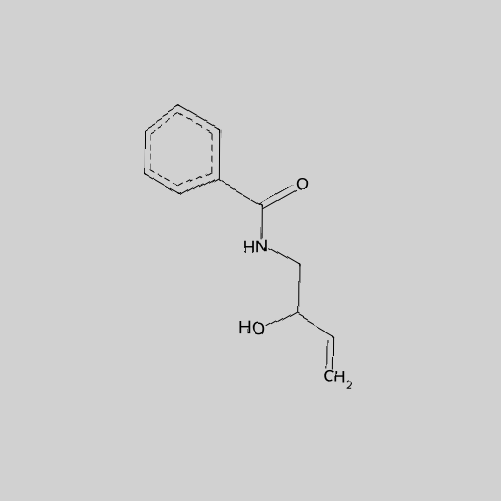 C=CC(O)CNC(=O)c1ccccc1